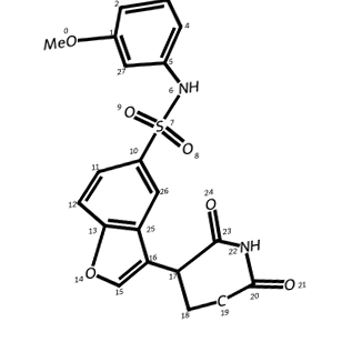 COc1cccc(NS(=O)(=O)c2ccc3occ(C4CCC(=O)NC4=O)c3c2)c1